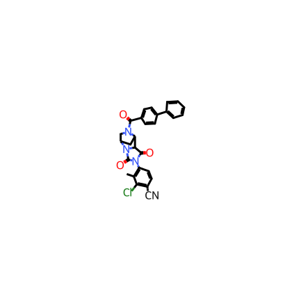 Cc1c(N2C(=O)C3C4CC(CN4C(=O)c4ccc(-c5ccccc5)cc4)N3C2=O)ccc(C#N)c1Cl